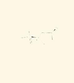 CCCCP(=O)(O)[C@@H]1CC[C@H](N)C1